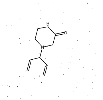 C=CC(C=C)N1CCNC(=O)C1